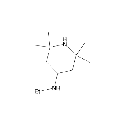 CCNC1CC(C)(C)NC(C)(C)C1